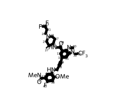 CNC(=O)c1cc(NCC#Cc2cc(C(=O)N[C@H]3CCN(CCC(F)F)C[C@@H]3C)c3ncn(CC(F)(F)F)c3c2)c(OC)cc1F